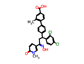 Cc1cc(C(=O)O)ccc1-c1ccc(C(CC(=NO)c2ccc(=O)n(C)c2)c2ccc(Cl)cc2Cl)cc1